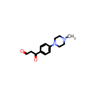 CN1CCN(c2ccc(C(=O)CC=O)cc2)CC1